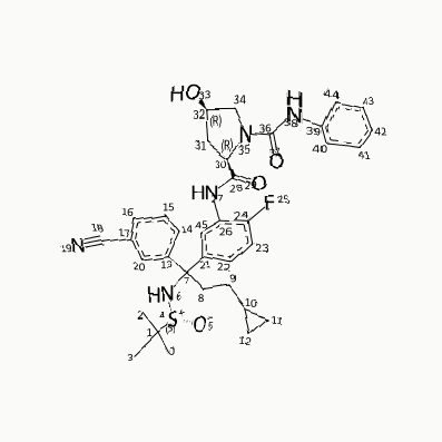 CC(C)(C)[S@@+]([O-])NC(CCC1CC1)(c1cccc(C#N)c1)c1ccc(F)c(NC(=O)[C@H]2C[C@@H](O)CN2C(=O)Nc2ccccc2)c1